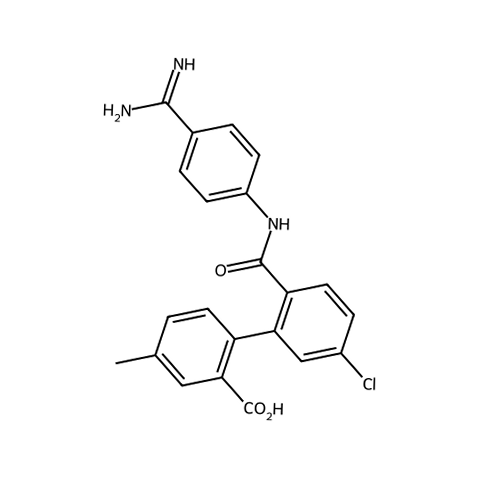 Cc1ccc(-c2cc(Cl)ccc2C(=O)Nc2ccc(C(=N)N)cc2)c(C(=O)O)c1